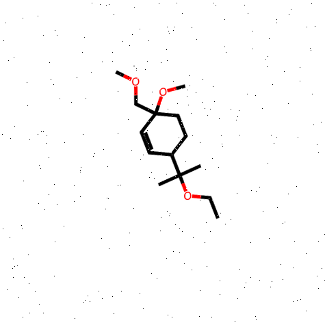 CCOC(C)(C)C1C=CC(COC)(OC)CC1